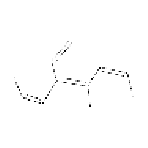 C=CC(/C=C\C)=C(C)\C=C/C